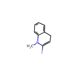 CN1C(I)=CCc2ccccc21